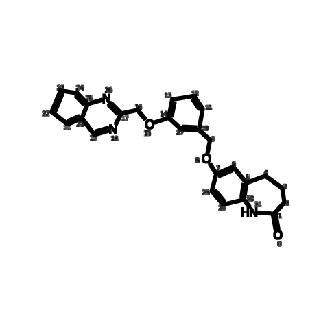 O=C1CCCc2cc(OCc3cccc(OCc4ncc5ccccc5n4)c3)ccc2N1